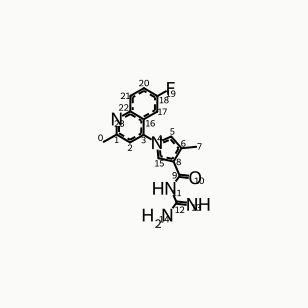 Cc1cc(-n2cc(C)c(C(=O)NC(=N)N)c2)c2cc(F)ccc2n1